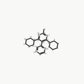 Cc1nc(C2CCCCC2)c(-c2cnccn2)c(C2CCCCC2)n1